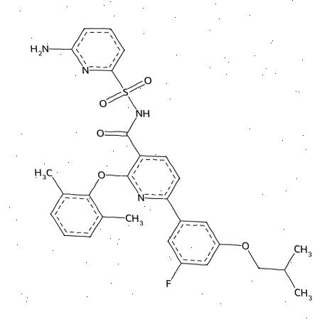 Cc1cccc(C)c1Oc1nc(-c2cc(F)cc(OCC(C)C)c2)ccc1C(=O)NS(=O)(=O)c1cccc(N)n1